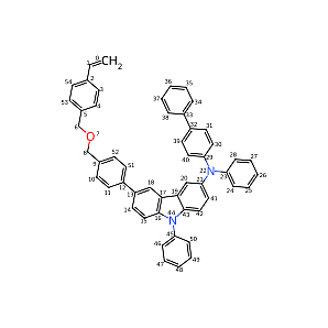 C=Cc1ccc(COCc2ccc(-c3ccc4c(c3)c3cc(N(c5ccccc5)c5ccc(-c6ccccc6)cc5)ccc3n4-c3ccccc3)cc2)cc1